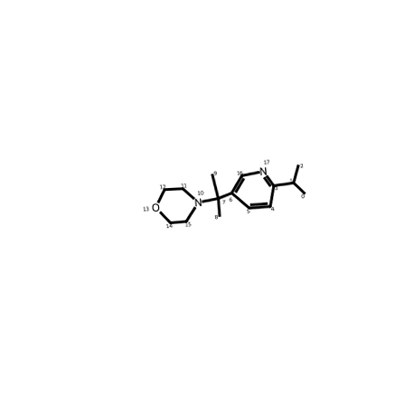 CC(C)c1ccc(C(C)(C)N2CCOCC2)cn1